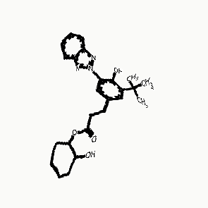 CC(C)(C)c1cc(CCC(=O)OC2CCCCC2O)cc(-n2nc3ccccc3n2)c1O